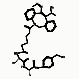 CCC(C)C(C)/C1=C(\N=N/C)c2ccccc2N(C(=O)CCCCC(=O)N[C@H](C(=O)N[C@@H](C)C(=O)Nc2ccc(CO)cc2)C(C)C)Cc2ccccc21